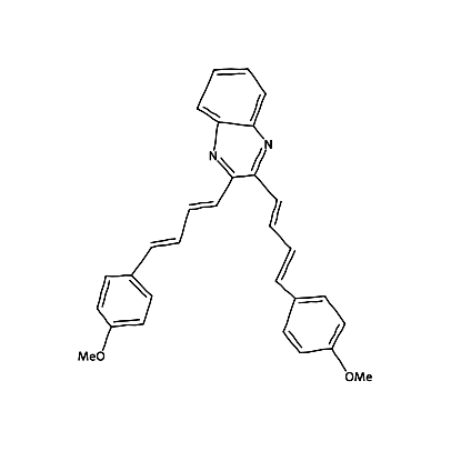 COc1ccc(C=CC=Cc2nc3ccccc3nc2C=CC=Cc2ccc(OC)cc2)cc1